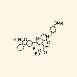 COc1ccc(Cn2ccc3nc(-c4ccc(C5(C(N)=O)CCCCC5)cc4F)cc(NC(=O)OC(C)(C)C)c3c2=O)cc1